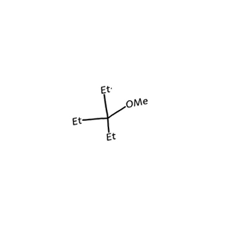 C[CH]C(CC)(CC)OC